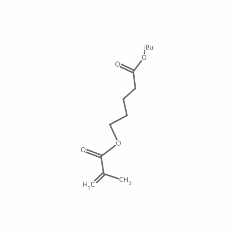 C=C(C)C(=O)OCCCCC(=O)OC(C)CC